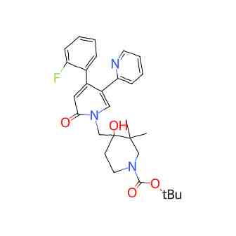 CC(C)(C)OC(=O)N1CCC(O)(Cn2cc(-c3ccccn3)c(-c3ccccc3F)cc2=O)C(C)(C)C1